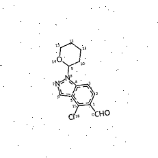 O=Cc1ccc2c(cnn2C2CCCCO2)c1Cl